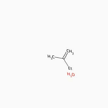 C=C(C)CC.O